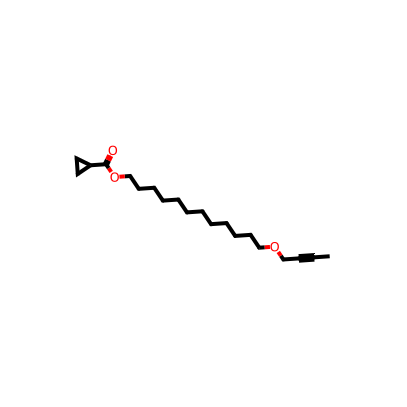 CC#CCOCCCCCCCCCCCCOC(=O)C1CC1